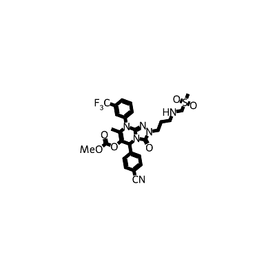 COC(=O)OC1=C(C)N(c2cccc(C(F)(F)F)c2)c2nn(CCCNCS(C)(=O)=O)c(=O)n2C1c1ccc(C#N)cc1